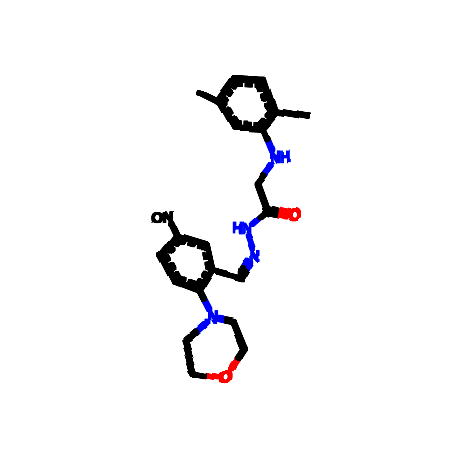 Cc1ccc(C)c(NCC(=O)N/N=C\c2cc(N=O)ccc2N2CCOCC2)c1